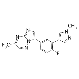 Cn1cc(-c2cc(-c3cnc4nc(C(F)(F)F)cnn34)ccc2F)cn1